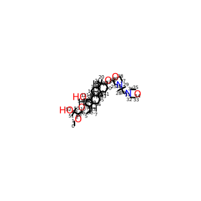 CCO[C@@H]([C@H]1C[C@@H](C)[C@H]2[C@H](O1)[C@H](O)[C@@]1(C)[C@@H]3CC[C@H]4C(C)(C)[C@@H](O[C@H]5CN(C(C)(C)CN6CCOCC6)CCO5)CCC45C[C@@]35CC[C@]21C)C(C)(C)O